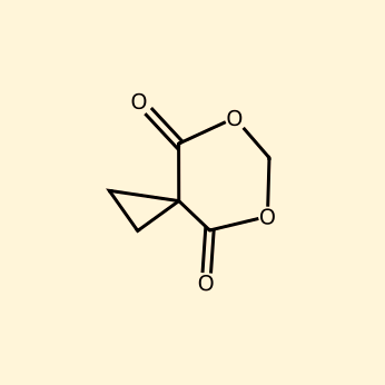 O=C1OCOC(=O)C12CC2